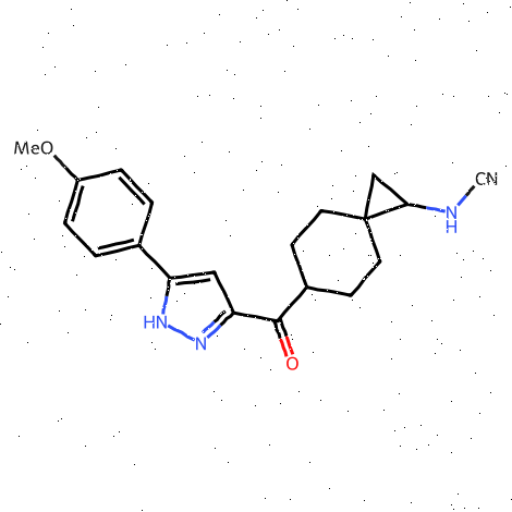 COc1ccc(-c2cc(C(=O)C3CCC4(CC3)CC4NC#N)n[nH]2)cc1